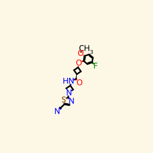 COc1ccc(F)cc1O[C@H]1C[C@H](C(=O)NC2CN(c3ncc(C#N)s3)C2)C1